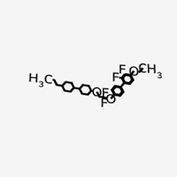 CCCC1CCC(C2CCC(OCC(F)(F)Oc3ccc(-c4ccc(OCC)c(F)c4F)cc3)CC2)CC1